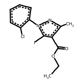 CCOC(=O)c1c(C)nn(-c2ccccc2Cl)c1I